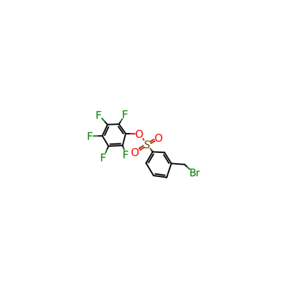 O=S(=O)(Oc1c(F)c(F)c(F)c(F)c1F)c1cccc(CBr)c1